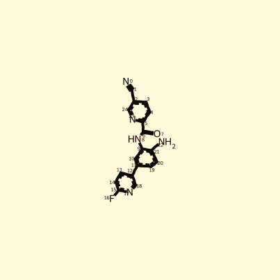 N#Cc1ccc(C(=O)Nc2cc(-c3ccc(F)nc3)ccc2N)nc1